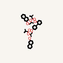 C=C(C)C(=O)OC(COc1ccc(-c2ccccc2OCC(COc2ccc3ccccc3c2)OC(=O)C(=C)C)cc1)COc1ccc2ccccc2c1